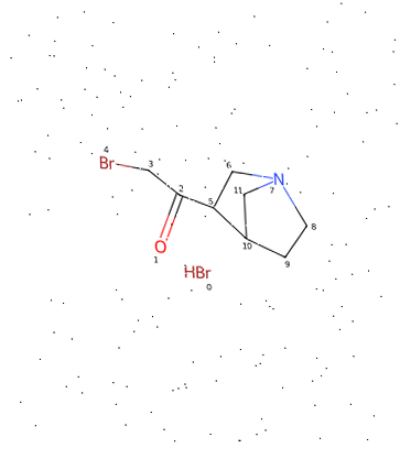 Br.O=C(CBr)C1CN2CCC1C2